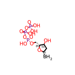 B[C@H]1C[C@H](O)[C@@H](COP(=O)(O)OP(=O)(O)OP(=O)(O)O)O1